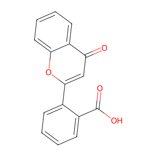 O=C(O)c1ccccc1-c1cc(=O)c2ccccc2o1